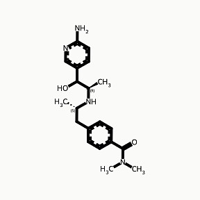 C[C@@H](Cc1ccc(C(=O)N(C)C)cc1)N[C@H](C)C(O)c1ccc(N)nc1